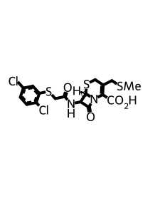 CSCC1=C(C(=O)O)N2C(=O)C(NC(=O)CSc3cc(Cl)ccc3Cl)[C@@H]2SC1